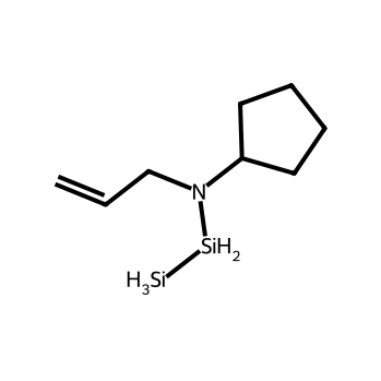 C=CCN([SiH2][SiH3])C1CCCC1